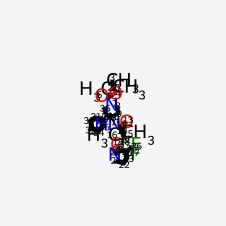 CC(C)(C)OC(=O)N1CC[C@H](NC(=O)C(C)(C)COc2ncccc2C(F)(F)F)[C@@H](c2ccccc2)C1